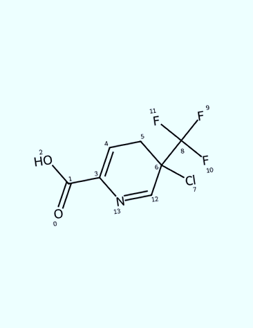 O=C(O)C1=CCC(Cl)(C(F)(F)F)C=N1